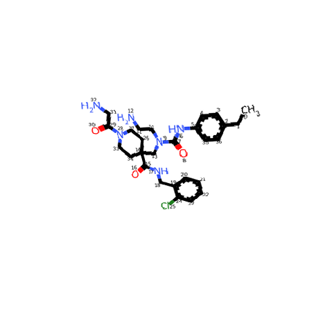 CCc1ccc(NC(=O)N(CCN)CC2(C(=O)NCc3ccccc3Cl)CCN(C(=O)CN)CC2)cc1